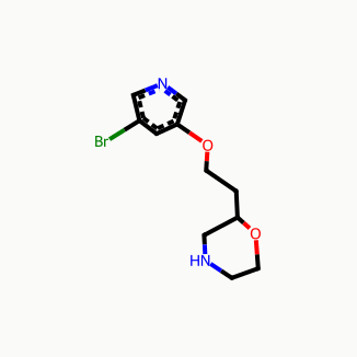 Brc1cncc(OCCC2CNCCO2)c1